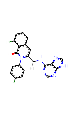 CC[C@H](Nc1ncnc2[nH]cnc12)c1cc2cccc(F)c2c(=O)n1-c1ccc(Cl)cc1